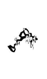 CC(C)n1ncnc1C1=CN2CCOc3ccc(CC(=O)NCc4ccccc4)cc3C2N1